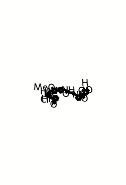 COc1cc(N2CCC(NC(=O)CCCCNc3cccc4c3CN(C3CCC(=O)NC3=O)C4=O)CC2)ccc1Nc1ncc(Cl)c(Nc2ccccc2P(C)(C)=O)n1